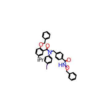 CC(C)c1ccc(OCc2ccccc2)c(C(=O)N(Cc2ccc(C(=O)NOCc3ccccc3)cc2)c2ccc(I)cc2)c1